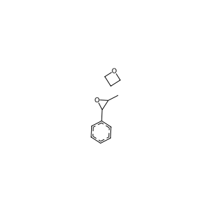 C1COC1.CC1OC1c1ccccc1